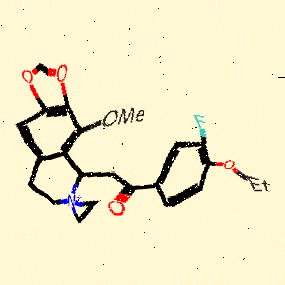 CCOc1ccc(C(=O)CC2c3c(cc4c(c3OC)OCO4)CC[N+]23CC3)cc1F